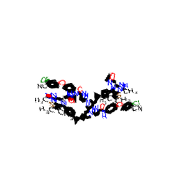 Cc1sc2c(c1C)C(c1ccc([C@H]3CC3CC3CC(C4CC5(CCN4c4ccc(C(=O)N[C@H]6CC[C@H](Oc7ccc(C#N)c(Cl)c7)CC6)nn4)CC([C@@H]4C[C@H]4c4ccc(C6=N[C@@H](Cc7ncco7)c7nnc(C)n7-c7sc(C)c(C)c76)cc4)C5)CN(c4ccc(C(=O)N[C@H]5CC[C@H](Oc6ccc(C#N)c(Cl)c6)CC5)nn4)C3)cc1)=N[C@@H](Cc1ncco1)c1nnc(C)n1-2